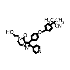 CC(C)(C#N)c1ccc(COc2ccc(-c3c(-c4ccncc4)nn4c3C(=O)N(CCO)CC4)cc2)cc1